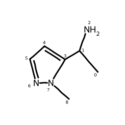 CC(N)c1ccnn1C